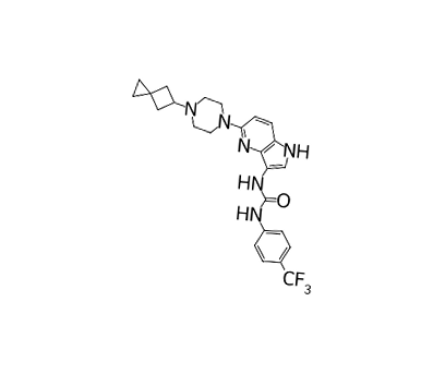 O=C(Nc1ccc(C(F)(F)F)cc1)Nc1c[nH]c2ccc(N3CCN(C4CC5(CC5)C4)CC3)nc12